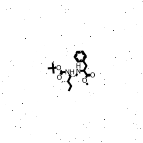 CC[C@H](C)[C@@H](CNC(Cc1ccccc1)C(=O)OC)NC(=O)OC(C)(C)C